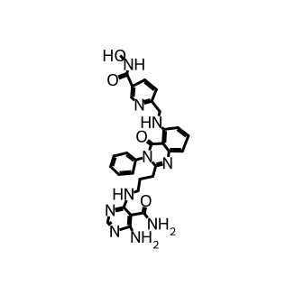 NC(=O)c1c(N)ncnc1NCCCc1nc2cccc(NCc3ccc(C(=O)NO)cn3)c2c(=O)n1-c1ccccc1